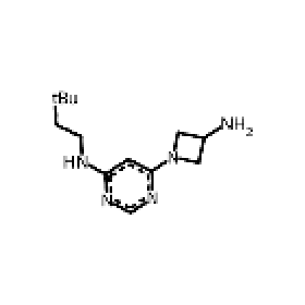 CC(C)(C)CCNc1cc(N2CC(N)C2)ncn1